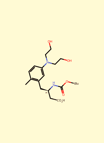 Cc1ccc(N(CCO)CCO)cc1C[C@H](CC(=O)O)NC(=O)OC(C)(C)C